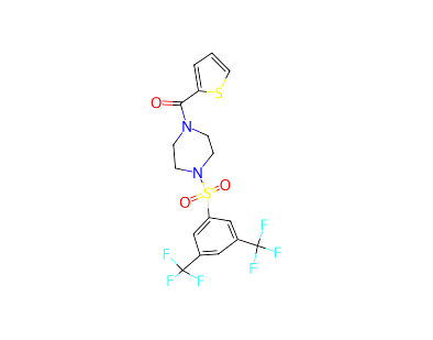 O=C(c1cccs1)N1CCN(S(=O)(=O)c2cc(C(F)(F)F)cc(C(F)(F)F)c2)CC1